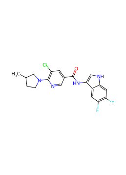 CC1CCN(c2ncc(C(=O)Nc3c[nH]c4cc(F)c(F)cc34)cc2Cl)C1